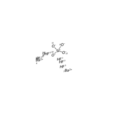 F.F.F.F.F.F.[Ba+2].[Ba+2].[O-][Si]([O-])([O-])[O-]